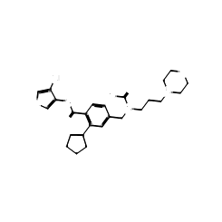 NC(=O)N(CCCN1CCOCC1)Cc1ccc(C(=O)Nc2cscc2N)c(C2CCCC2)c1